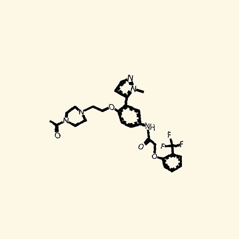 CC(=O)N1CCN(CCOc2ccc(NC(=O)COc3ccccc3C(F)(F)F)cc2-c2ccnn2C)CC1